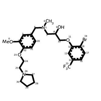 COc1cc(CN(C)CC(O)COc2cc(C(F)(F)F)ccc2Br)ccc1OCCN1CCCC1